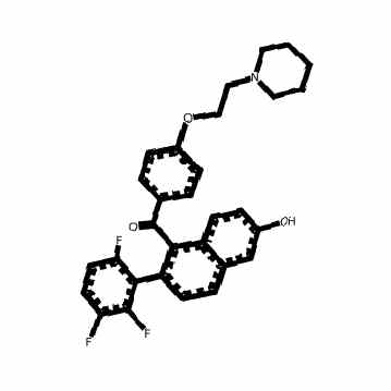 O=C(c1ccc(OCCN2CCCCC2)cc1)c1c(-c2c(F)ccc(F)c2F)ccc2cc(O)ccc12